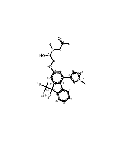 CC(=O)CN(C)[C@@H](O)COc1cc(-c2cnn(C)c2)c2c(c1)C(O)(C(F)(F)F)c1ccccc1-2